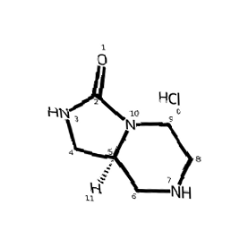 Cl.O=C1NC[C@@H]2CNCCN12